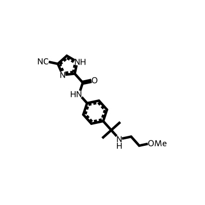 COCCNC(C)(C)c1ccc(NC(=O)c2nc(C#N)c[nH]2)cc1